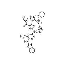 CCOC(=O)c1nc(N(C)c2cc(C)c(Nc3nc4ccccc4s3)nn2)sc1-c1cnn(CC2(CCCOC)CCCCC2)c1C